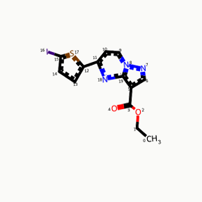 CCOC(=O)c1cnn2ccc(-c3ccc(I)s3)nc12